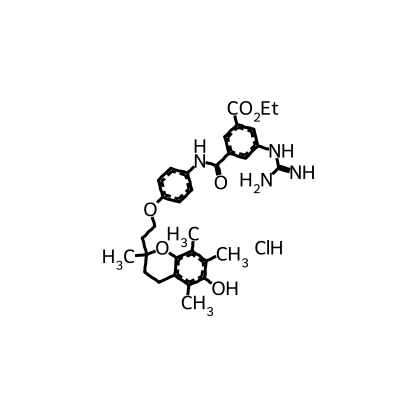 CCOC(=O)c1cc(NC(=N)N)cc(C(=O)Nc2ccc(OCCC3(C)CCc4c(C)c(O)c(C)c(C)c4O3)cc2)c1.Cl